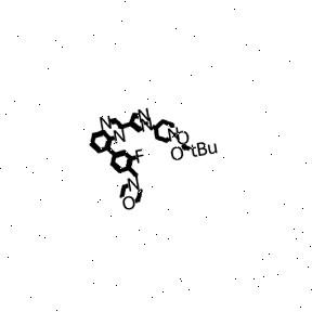 CC(C)(C)C(=O)ON1CCC(n2cc(-c3cnc4cccc(-c5ccc(CN6CCOCC6)c(F)c5)c4n3)cn2)CC1